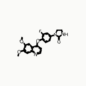 COc1cc2nccc(Oc3ccc(N4CCNC4=O)cc3F)c2cc1OC